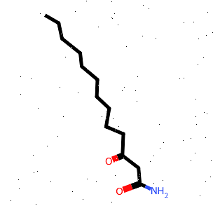 CCCCCCCCCCC(=O)CC(N)=O